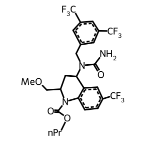 CCCOC(=O)N1c2ccc(C(F)(F)F)cc2C(N(Cc2cc(C(F)(F)F)cc(C(F)(F)F)c2)C(N)=O)CC1COC